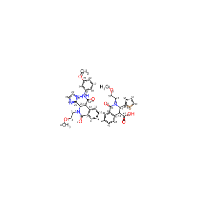 COCCN1C(=O)c2ccccc2C(C(=O)Nc2cccc(OC)c2)C1c1ncc[nH]1.COCCN1C(=O)c2ccccc2C(C(=O)O)C1c1cccs1